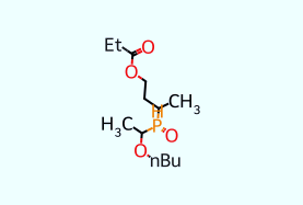 CCCCOC(C)[PH](=O)C(C)CCOC(=O)CC